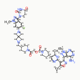 Cc1nc(-c2c(-c3nn(C(C)(C)C)c4ncnc(N)c34)noc2C2CC2)ncc1C1CCN(C(=O)OCC(=O)N2CCC(CN3CC4(C3)CN(c3cc5c(cc3F)c(N3CCC(=O)NC3=O)nn5C)C4)CC2)CC1